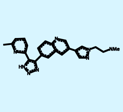 CNCCn1cc(-c2cnc3ccc(-c4nn[nH]c4-c4cccc(C)n4)cc3c2)cn1